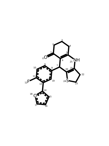 O=C1CCCC2=C1C(c1ccc(F)c(-c3ccco3)c1)C1=C(CCS1)N2